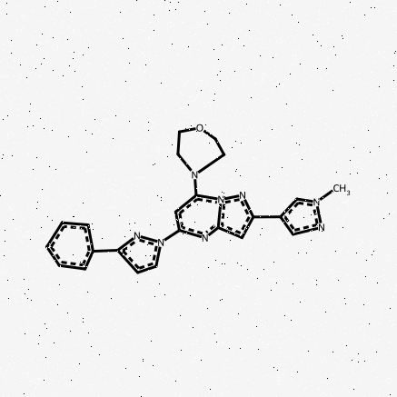 Cn1cc(-c2cc3nc(-n4ccc(-c5ccccc5)n4)cc(N4CCOCC4)n3n2)cn1